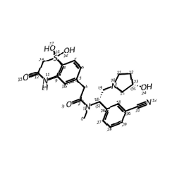 CN(C(=O)Cc1ccc2c(c1)NC(=O)CS2(O)O)[C@H](CN1CC[C@H](O)C1)c1cccc(C#N)c1